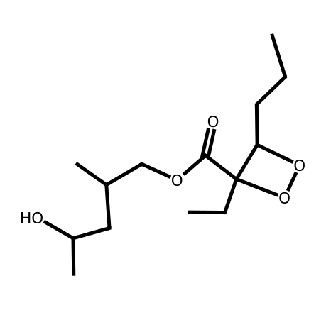 CCCC1OOC1(CC)C(=O)OCC(C)CC(C)O